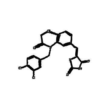 O=C1NC(=O)C(=Cc2ccc3c(c2)N(Cc2ccc(Cl)c(Cl)c2)C(=O)CO3)S1